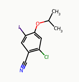 CC(C)Oc1cc(Cl)c(C#N)cc1I